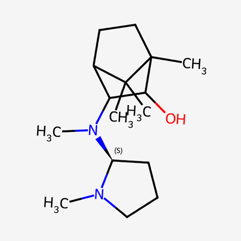 CN1CCC[C@@H]1N(C)C1C2CCC(C)(C1O)C2(C)C